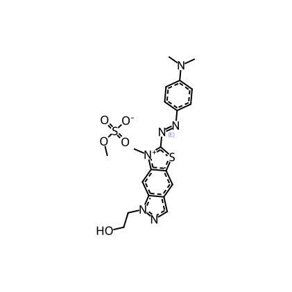 CN(C)c1ccc(/N=N/c2sc3cc4cnn(CCO)c4cc3[n+]2C)cc1.COS(=O)(=O)[O-]